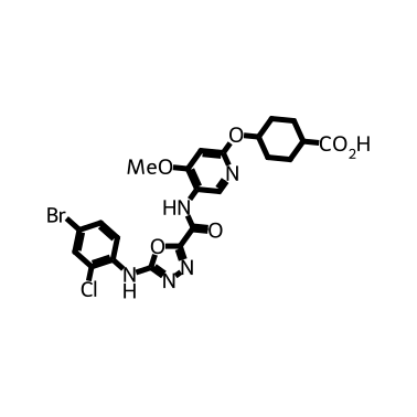 COc1cc(OC2CCC(C(=O)O)CC2)ncc1NC(=O)c1nnc(Nc2ccc(Br)cc2Cl)o1